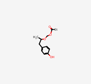 CCC(=O)OCOC(C)Cc1ccc(O)cc1